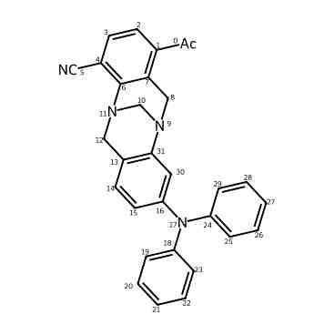 CC(=O)c1ccc(C#N)c2c1CN1CN2Cc2ccc(N(c3ccccc3)c3ccccc3)cc21